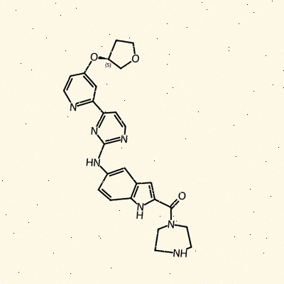 O=C(c1cc2cc(Nc3nccc(-c4cc(O[C@H]5CCOC5)ccn4)n3)ccc2[nH]1)N1CCNCC1